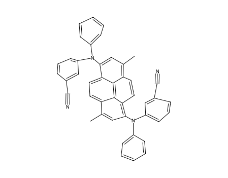 Cc1cc(N(c2ccccc2)c2cccc(C#N)c2)c2ccc3c(C)cc(N(c4ccccc4)c4cccc(C#N)c4)c4ccc1c2c34